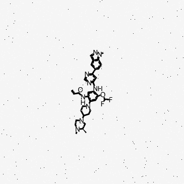 C=CC(=O)Nc1cc(Nc2cc(-c3ccc4c(cnn4C)c3)ncn2)c(OC(F)F)cc1N1CCC(N2CCN(C)[C@H](C)C2)CC1